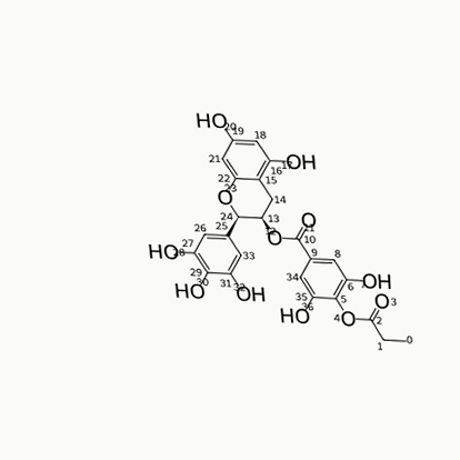 CCC(=O)Oc1c(O)cc(C(=O)O[C@@H]2Cc3c(O)cc(O)cc3O[C@@H]2c2cc(O)c(O)c(O)c2)cc1O